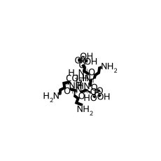 NCCCC[C@H](NC(=O)[C@H](CCCCN)NC(=O)[C@H](COP(=O)(O)O)NC(=O)[C@H](CCCCN)NC(=O)[C@@H](N)COP(=O)(O)O)C(=O)O